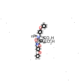 CCCN(Cc1ccc(Oc2ccccc2)cc1)C(=O)[C@@H]1[C@H](CC(=O)O)[C@@H](CC(=O)O)[C@H]1C(=O)N(CCC)Cc1ccc(Oc2ccccc2)cc1